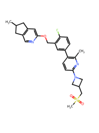 Cc1nc(N2CC(CS(C)(=O)=O)C2)ccc1-c1ccc(F)c(COc2cc3c(cn2)CC(C)C3)c1